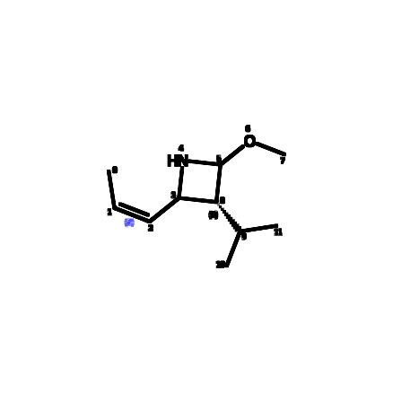 C/C=C\C1NC(OC)[C@@H]1C(C)C